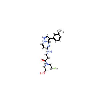 Cc1cccc(-c2cnn3ccc(NCCC(=O)N(CCO)CCF)nc23)c1